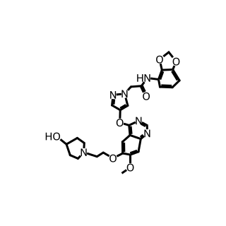 COc1cc2ncnc(Oc3cnn(CC(=O)Nc4cccc5c4OCO5)c3)c2cc1OCCN1CCC(O)CC1